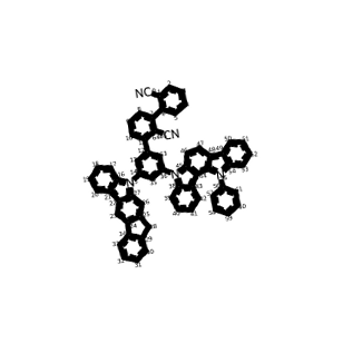 N#Cc1ccccc1-c1cccc(-c2cc(-n3c4ccccc4c4cc5c(cc43)Cc3ccccc3-5)cc(-n3c4ccccc4c4c3ccc3c5ccccc5n(-c5ccccc5)c34)c2)c1C#N